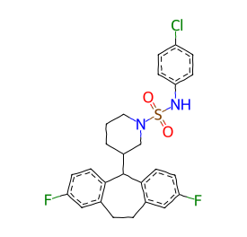 O=S(=O)(Nc1ccc(Cl)cc1)N1CCCC(C2c3ccc(F)cc3CCc3cc(F)ccc32)C1